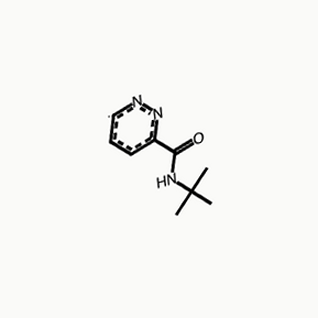 CC(C)(C)NC(=O)c1cc[c]nn1